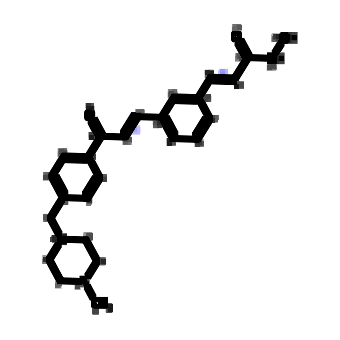 CN1CCN(Cc2ccc(C(=O)/C=C/c3cccc(/C=C/C(=O)NO)c3)cc2)CC1